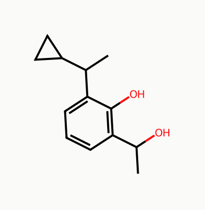 CC(O)c1cccc(C(C)C2CC2)c1O